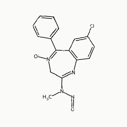 CN(N=O)C1=Nc2ccc(Cl)cc2C(c2ccccc2)=[N+]([O-])C1